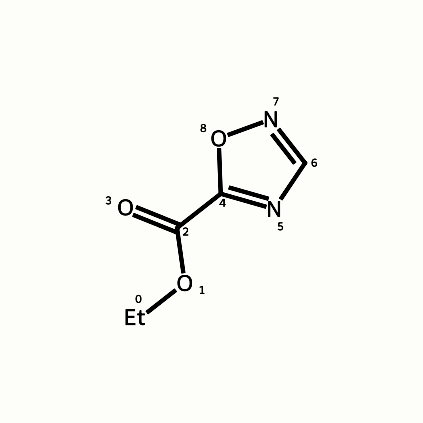 CCOC(=O)c1ncno1